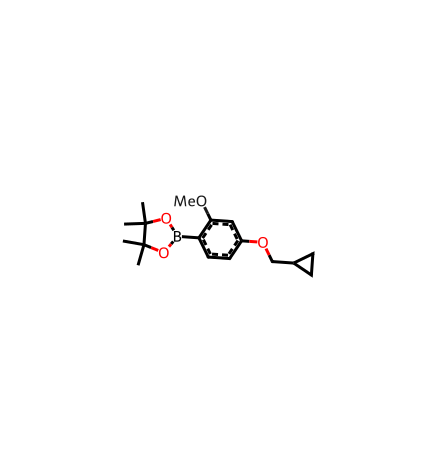 COc1cc(OCC2CC2)ccc1B1OC(C)(C)C(C)(C)O1